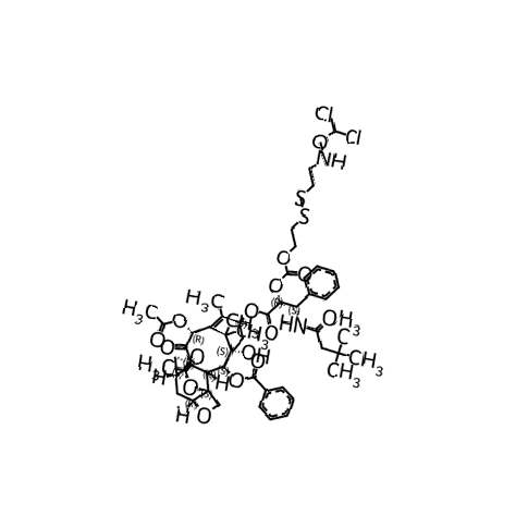 CC(=O)O[C@H]1C(=O)[C@]23C[C@H]2C[C@H]2OC[C@@]2(OC(C)=O)[C@H]3[C@H](OC(=O)c2ccccc2)[C@]2(O)C[C@H](OC(=O)[C@H](OC(=O)OCCSSCCNOC(Cl)Cl)[C@@H](NC(=O)CC(C)(C)C)c3ccccc3)C(C)=C1C2(C)C